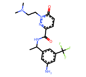 CC(NC(=O)c1ccc(=O)n(CCN(C)C)n1)c1cc(N)cc(C(F)(F)F)c1